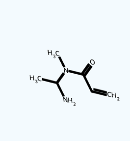 C=CC(=O)N(C)C(C)N